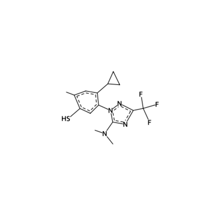 Cc1cc(C2CC2)c(-n2nc(C(F)(F)F)nc2N(C)C)cc1S